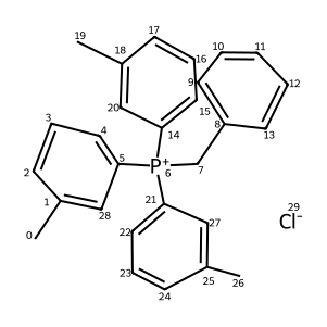 Cc1cccc([P+](Cc2ccccc2)(c2cccc(C)c2)c2cccc(C)c2)c1.[Cl-]